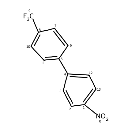 O=[N+]([O-])c1ccc(-c2ccc(C(F)(F)F)cc2)cc1